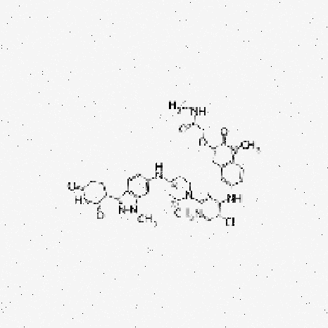 CNC(=O)COc1cc2cc(Nc3nc(N4CC[C@@H](Nc5ccc6c(C7CCC(=O)NC7=O)nn(C)c6c5)C[C@H]4C)ncc3Cl)ccc2n(C)c1=O